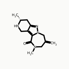 C=C1CN(C)C(=O)c2c3c(nn2C1)C[C@@H](C)NC3